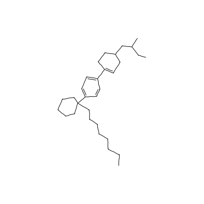 CCCCCCCCC1(c2ccc(C3=CCC(CC(C)CC)CC3)cc2)CCCCC1